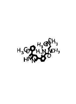 COc1ccccc1-c1c[nH]c2ncc(-c3cccc(C(N)C(=O)N(C)CCN(C)C)c3)cc12